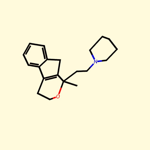 CC1(CCN2CCCCC2)OCCC2=C1Cc1ccccc12